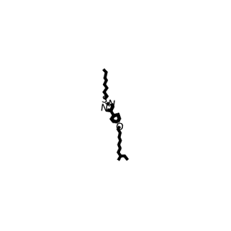 CCCCCCCCSc1ncc(-c2ccc(OCCCCCCCC(C)CC)cc2)cn1